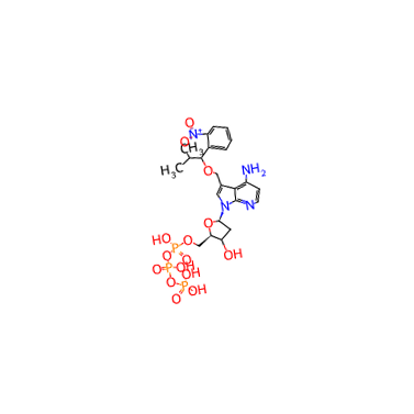 CC(C)C(OCc1cn([C@H]2CC(O)[C@@H](COP(=O)(O)OP(=O)(O)OP(=O)(O)O)O2)c2nccc(N)c12)c1ccccc1[N+](=O)[O-]